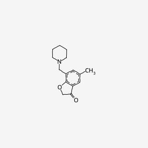 Cc1cc(CN2CCCCC2)c2c(c1)C(=O)CO2